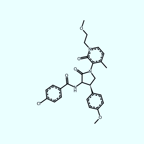 COCCn1ccc(C)c(N2C[C@@H](c3ccc(OC)cc3)C(NC(=O)c3ccc(Cl)cc3)C2=O)c1=O